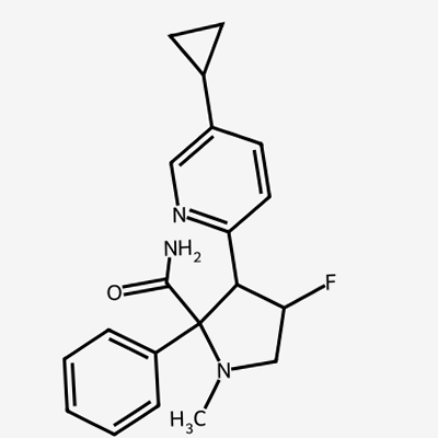 CN1CC(F)C(c2ccc(C3CC3)cn2)C1(C(N)=O)c1ccccc1